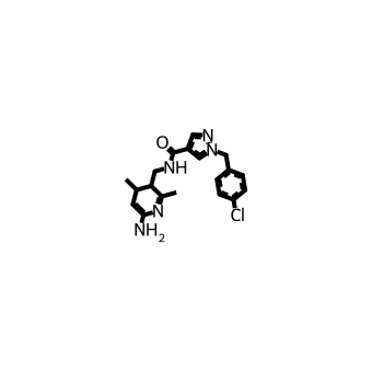 CC1=NC(N)=CC(C)C1CNC(=O)c1cnn(Cc2ccc(Cl)cc2)c1